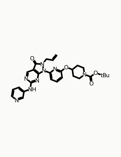 C=CCn1c(=O)c2cnc(Nc3cccnc3)nc2n1-c1cccc(OC2CCN(C(=O)OC(C)(C)C)CC2)n1